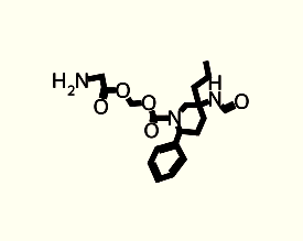 CCCC1(NC=O)CCC(c2ccccc2)N(C(=O)OCOC(=O)CN)C1